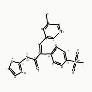 Cc1cncc(/C=C(/C(=O)Nc2nccs2)c2ccc(S(C)(=O)=O)cc2)c1